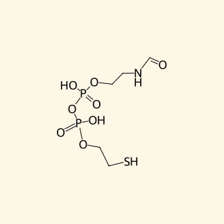 O=CNCCOP(=O)(O)OP(=O)(O)OCCS